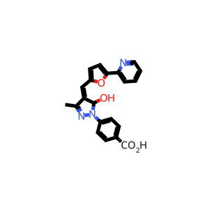 CC1=NN(c2ccc(C(=O)O)cc2)C(O)C1=Cc1ccc(-c2ccccn2)o1